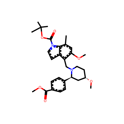 COC(=O)c1ccc([C@@H]2C[C@@H](OC)CCN2Cc2c(OC)cc(C)c3c2ccn3C(=O)OC(C)(C)C)cc1